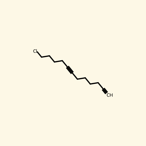 C#CCCCCC#CCCCCCl